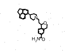 NC(=O)c1ccc2c(c1)CCOC2CCN1CCC(c2ccc3c4c(cccc24)CC3)CC1